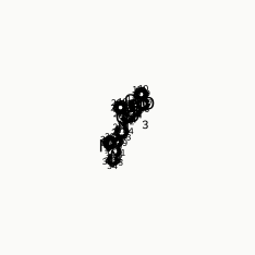 O=C(COCC1COc2ccccc2N1S(=O)(=O)c1ccccc1C(F)(F)F)N1CCC(CCCN2CCCC2)(c2ccncc2)CC1